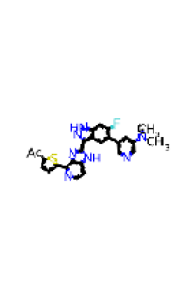 CC(=O)c1ccc(-c2nccc3[nH]c(-c4n[nH]c5cc(F)c(-c6cncc(N(C)C)c6)cc45)nc23)s1